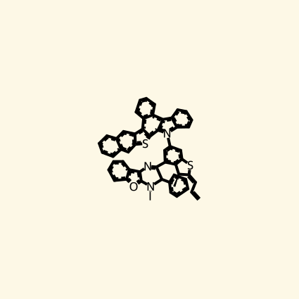 C=C/C=C1/Sc2cc(-n3c4ccccc4c4c5ccccc5c5c6cc7ccccc7cc6sc5c43)cc(C3=Nc4c(oc5ccccc45)N(I)C3c3ccccc3)c2[C@@H]1C